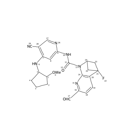 COC1CCCC1Nc1cc(NC(=O)N2c3nc(C=O)ccc3C3(F)CC2C3)ncc1C#N